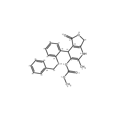 COC(=O)OC1=C(C)NC2=C(C(=O)OC2)C1c1ccccc1SCc1ccccc1